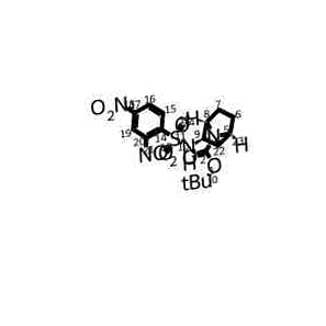 CC(C)(C)OC(=O)N1[C@H]2CC[C@@H]1[C@H](NS(=O)(=O)c1ccc([N+](=O)[O-])cc1[N+](=O)[O-])C2